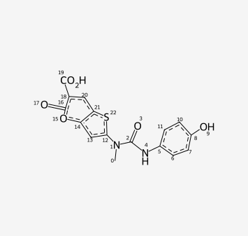 CN(C(=O)Nc1ccc(O)cc1)c1cc2oc(=O)c(C(=O)O)cc2s1